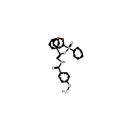 COc1ccc(C(=O)NC=C(OP(=O)(c2ccccc2)c2ccccc2)c2ccccc2)cc1